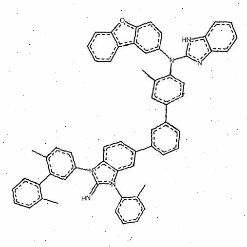 Cc1ccccc1-c1cc(-n2c(=N)n(-c3ccccc3C)c3cc(-c4cccc(-c5ccc(N(c6ccc7oc8ccccc8c7c6)c6nc7ccccc7[nH]6)c(C)c5)c4)ccc32)ccc1C